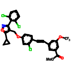 COC(=O)c1cc(C#Cc2ccc(OCc3c(-c4c(Cl)cccc4Cl)noc3C3CC3)cc2Cl)cc(OC(F)(F)F)c1